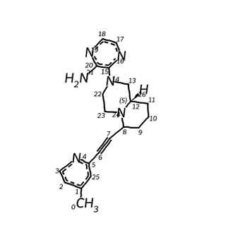 Cc1ccnc(C#CC2CCC[C@H]3CN(c4nccnc4N)CCN23)c1